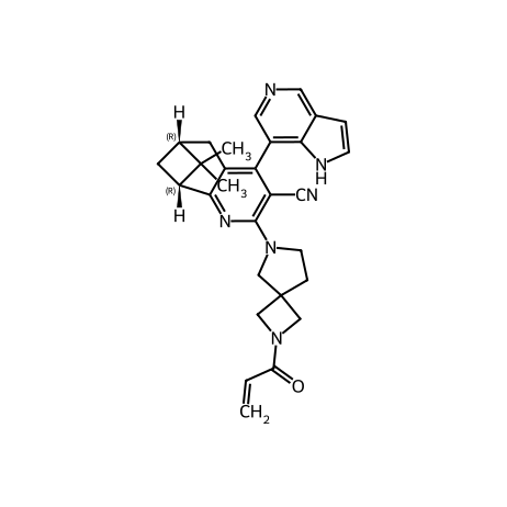 C=CC(=O)N1CC2(CCN(c3nc4c(c(-c5cncc6cc[nH]c56)c3C#N)C[C@H]3C[C@@H]4C3(C)C)C2)C1